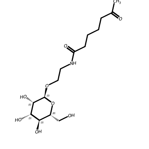 CC(=O)CCCCC(=O)NCCO[C@H]1O[C@H](CO)[C@@H](O)[C@H](O)[C@@H]1O